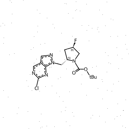 CC(C)(C)OC(=O)N1C[C@H](F)C[C@H]1Cn1ncc2cnc(Cl)nc21